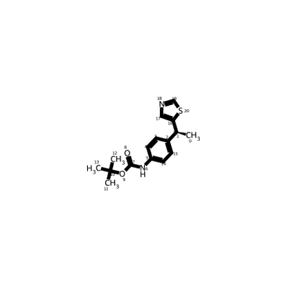 C[C@@H](c1ccc(NC(=O)OC(C)(C)C)cc1)c1cncs1